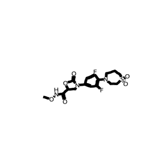 CONC(=O)C1CN(c2cc(F)c(N3CCCS(=O)(=O)CC3)c(F)c2)C(=O)O1